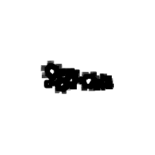 CC(=O)NC1(c2c(Cl)ccc3nc(N4CCC(c5nnn[nH]5)CC4)ccc23)CCCCC1